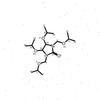 CC(C)OCN1C(=O)N(COC(C)C)C(OC(C)C)C1OC(C)C